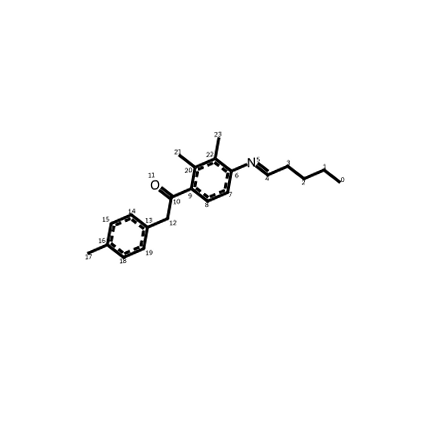 CCCC/C=N/c1ccc(C(=O)Cc2ccc(C)cc2)c(C)c1C